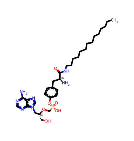 CCCCCCCCCCCCCCNC(=O)[C@@H](N)Cc1ccc(OP(=O)(O)CO[C@H](CO)Cn2cnc3c(N)ncnc32)cc1